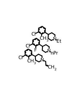 C=CCN1CCC(c2cccc(Cl)c2C)CC1.CCCN1CCC(c2cccc(Cl)c2F)CC1.CCN1CCC(c2cccc(Cl)c2C)CC1